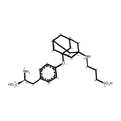 N[C@@H](Cc1ccc(OC23CC4CC(CC(NCCCS(=O)(=O)O)(C4)C2)C3)cc1)C(=O)O